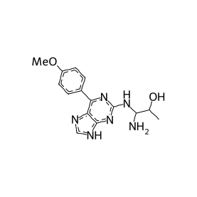 COc1ccc(-c2nc(NC(N)C(C)O)nc3[nH]cnc23)cc1